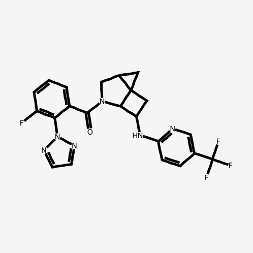 O=C(c1cccc(F)c1-n1nccn1)N1CC2CC23CC(Nc2ccc(C(F)(F)F)cn2)C13